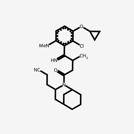 CNc1ccc(OC2CC2)c(Cl)c1C(=N)C(C)CC(=O)N1C(CCC#N)CC2CCCC1C2